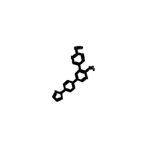 COc1ccc(-c2cc(-c3ccc(-n4cccn4)cc3)cnc2N)cn1